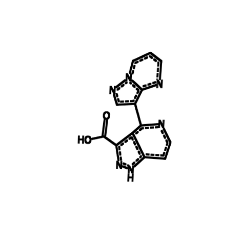 O=C(O)c1n[nH]c2ccnc(-c3cnn4cccnc34)c12